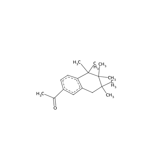 CC(=O)c1ccc2c(c1)CC(C)(C)C(C)(C)C2(C)C